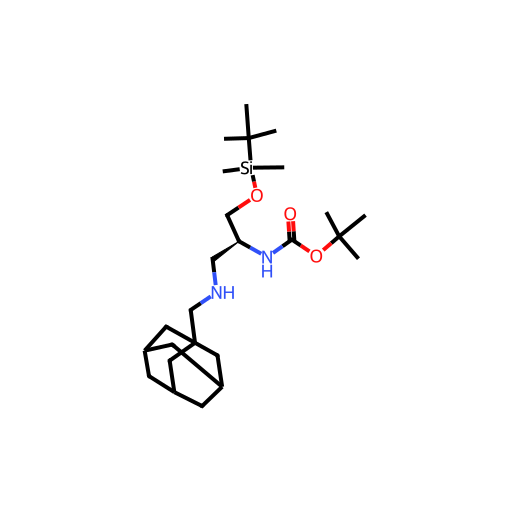 CC(C)(C)OC(=O)N[C@@H](CNCC12CC3CC(CC(C3)C1)C2)CO[Si](C)(C)C(C)(C)C